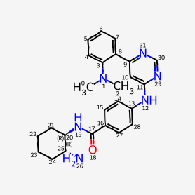 CN(C)c1ccccc1-c1cc(Nc2ccc(C(=O)N[C@@H]3CCCC[C@H]3N)cc2)ncn1